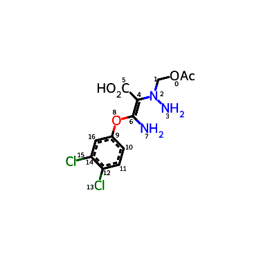 CC(=O)OCN(N)/C(C(=O)O)=C(\N)Oc1ccc(Cl)c(Cl)c1